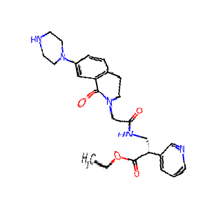 CCOC(=O)[C@H](CNC(=O)CN1CCc2ccc(N3CCNCC3)cc2C1=O)c1cccnc1